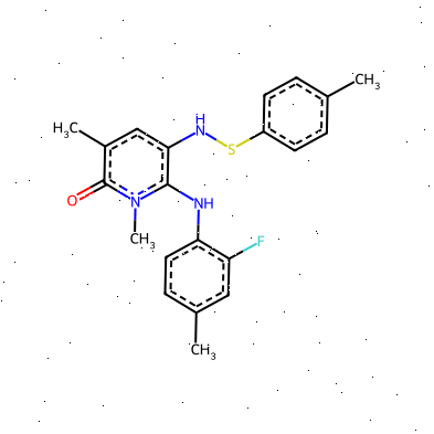 Cc1ccc(SNc2cc(C)c(=O)n(C)c2Nc2ccc(C)cc2F)cc1